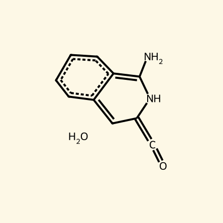 NC1=c2ccccc2=CC(=C=O)N1.O